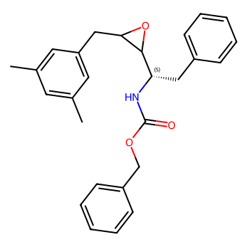 Cc1cc(C)cc(CC2OC2[C@H](Cc2ccccc2)NC(=O)OCc2ccccc2)c1